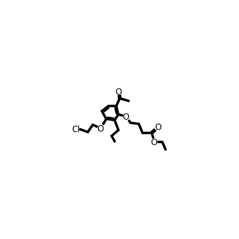 CCCc1c(OCCCl)ccc(C(C)=O)c1OCCCC(=O)OCC